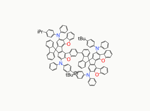 CC(C)c1ccc(N(c2ccccc2)c2cc3c(c4c2oc2cc(-c5cccc6c5-c5ccccc5C65c6cc(N(c7ccccc7)c7ccc(C(C)(C)C)cc7)c7c(oc8ccccc87)c6-c6c5cc(N(c5ccccc5)c5ccc(C(C)(C)C)cc5)c5oc7ccccc7c65)ccc24)-c2c(cc(N(c4ccccc4)c4ccc(C(C)C)cc4)c4c2oc2ccccc24)C32c3ccccc3-c3ccccc32)cc1